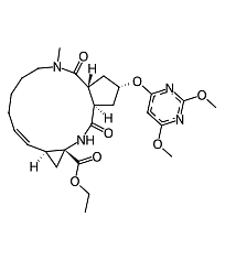 CCOC(=O)[C@@]12C[C@H]1/C=C\CCCCN(C)C(=O)[C@@H]1C[C@H](Oc3cc(OC)nc(OC)n3)C[C@H]1C(=O)N2